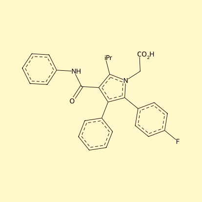 CC(C)c1c(C(=O)Nc2ccccc2)c(-c2ccccc2)c(-c2ccc(F)cc2)n1CC(=O)O